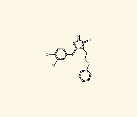 O=c1[nH]s/c(=N\c2ccc(Cl)c(Cl)c2)n1CCOc1ccccc1